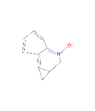 [O-][N+]1=c2ccccc2=C2CC2C1